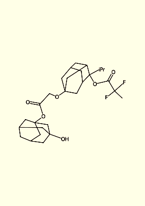 CC(C)C1(OC(=O)C(C)(F)F)C2CC3CC1CC(OCC(=O)OC14CC5CC(CC(O)(C5)C1)C4)(C3)C2